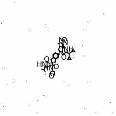 Cc1nonc1C(=O)N[C@H](C(=O)Nc1ccc2c(c1)CC(C(=O)NC1CCOC1)(N1C[C@@H](C(C)C)NC1=O)C2)C(C1CC1)C1CC1